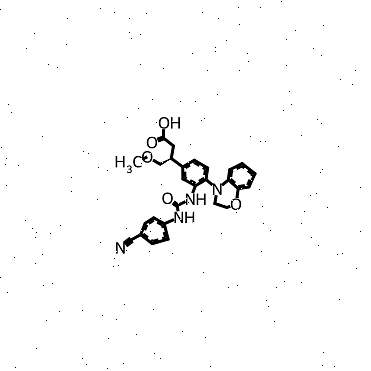 COC[C@@H](CC(=O)O)c1ccc(N2CCOc3ccccc32)c(NC(=O)Nc2ccc(C#N)cc2)c1